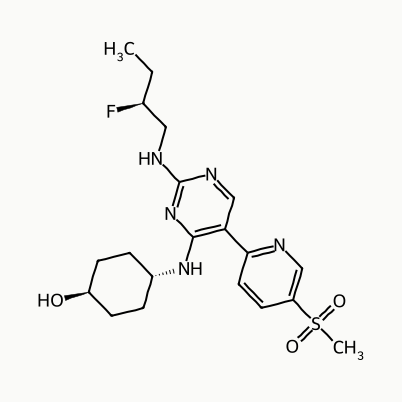 CC[C@H](F)CNc1ncc(-c2ccc(S(C)(=O)=O)cn2)c(N[C@H]2CC[C@H](O)CC2)n1